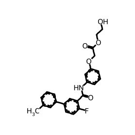 Cc1cccc(-c2ccc(F)c(C(=O)Nc3cccc(OCC(=O)OCCO)c3)c2)c1